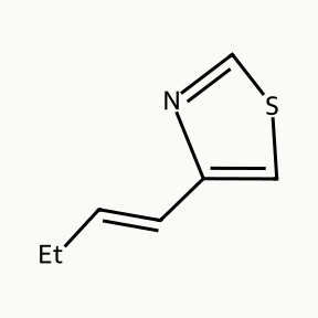 CC/C=C/c1cscn1